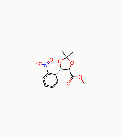 COC(=O)[C@@H]1OC(C)(C)O[C@H]1c1ccccc1[N+](=O)[O-]